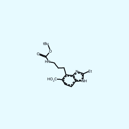 CCc1nc2c(CCCNC(=O)OC(C)(C)C)c(C(=O)O)ccc2[nH]1